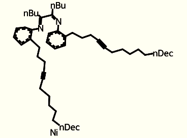 CCCCCCCCCCCCCCCC#CCCCc1ccccc1N=C(CCCC)C(CCCC)=Nc1ccccc1CCCC#CCCCCCCCCCCCCCCC.[Ni]